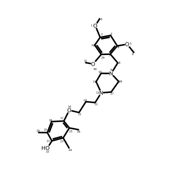 COc1cc(OC)c(CN2CCN(CCCOc3cc(C)c(O)c(C)c3C)CC2)c(OC)c1